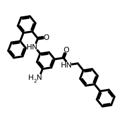 Nc1cc(NC(=O)c2ccccc2-c2ccccc2)cc(C(=O)NCc2ccc(-c3ccccc3)cc2)c1